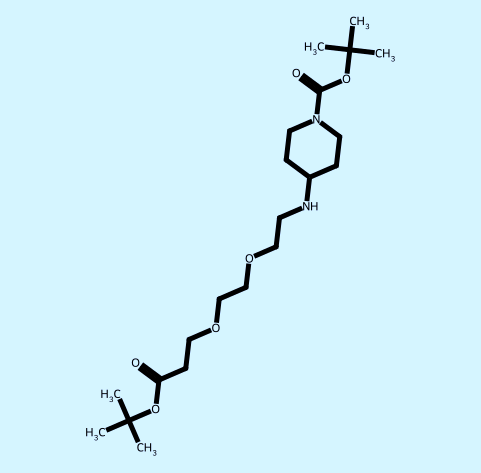 CC(C)(C)OC(=O)CCOCCOCCNC1CCN(C(=O)OC(C)(C)C)CC1